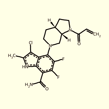 C=CC(=O)N1CC[C@H]2CCN(c3c(F)c(F)c(C(N)=O)c4[nH]c(C)c(Cl)c34)C[C@H]21